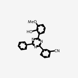 COc1cccc(-c2nc(-c3ccccc3)nc(-c3cccc(C#N)c3)n2)c1O